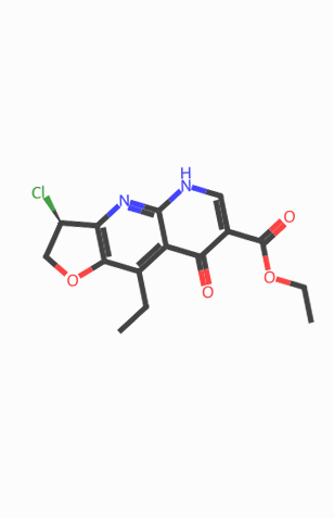 CCOC(=O)c1c[nH]c2nc3c(c(CC)c2c1=O)OC[C@H]3Cl